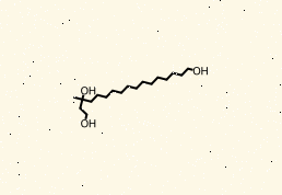 CC(O)(CCO)CCCCCCCCCCCCCCO